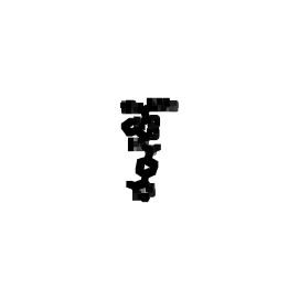 CNC(C(=O)N1CCCC1C(=O)N[C@@H](C)c1ccc(-c2scnc2C)cc1)C(C)(C)C